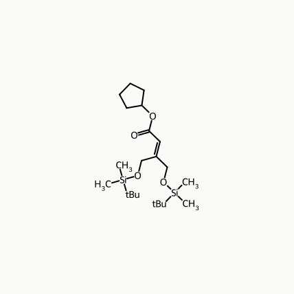 CC(C)(C)[Si](C)(C)OCC(=CC(=O)OC1CCCC1)CO[Si](C)(C)C(C)(C)C